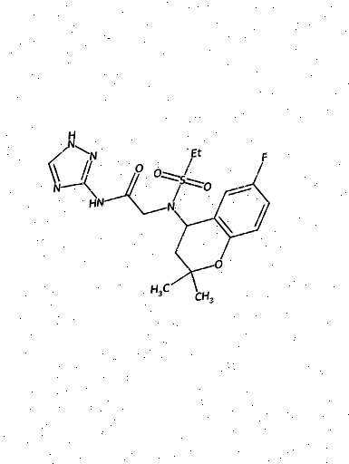 CCS(=O)(=O)N(CC(=O)Nc1nc[nH]n1)C1CC(C)(C)Oc2ccc(F)cc21